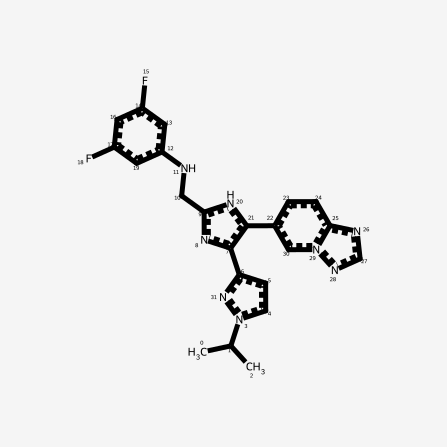 CC(C)n1ccc(-c2nc(CNc3cc(F)cc(F)c3)[nH]c2-c2ccc3ncnn3c2)n1